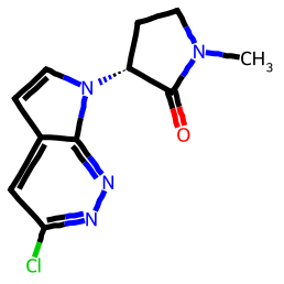 CN1CC[C@@H](n2ccc3cc(Cl)nnc32)C1=O